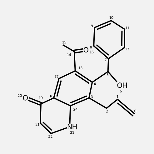 C=CCc1c(C(O)c2ccccc2)c(C(C)=O)cc2c(=O)cc[nH]c12